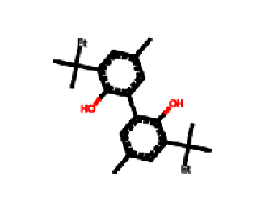 CCC(C)(C)c1cc(C)cc(-c2cc(C)cc(C(C)(C)CC)c2O)c1O